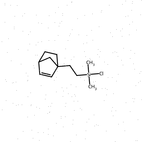 C[Si](C)(Cl)CCC12C=CC(CC1)C2